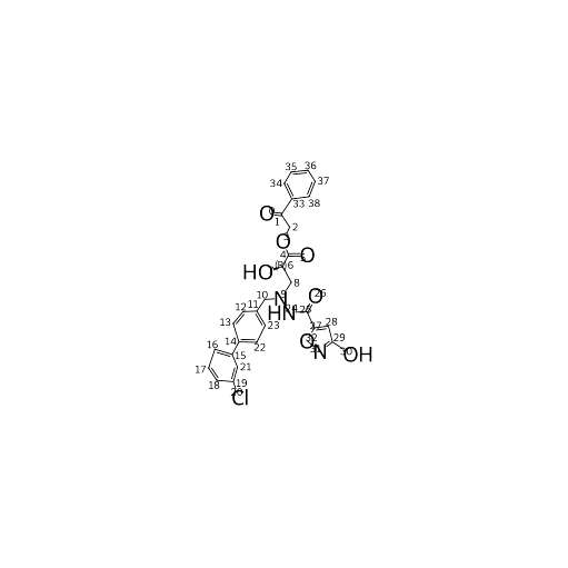 O=C(COC(=O)[C@H](O)CN(Cc1ccc(-c2cccc(Cl)c2)cc1)NC(=O)c1cc(O)no1)c1ccccc1